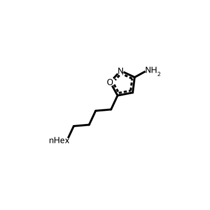 CCCCCCCCCCc1cc(N)no1